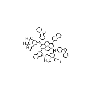 Cc1cc(N(c2ccc3c(c2)C2C=CC=CC2O3)c2cc(-c3ccc4ccccc4c3)c3ccc4c(N(c5cc(C)c(C)c(C)c5)c5ccc6oc7ccccc7c6c5)cc(-c5ccc6ccccc6c5)c5ccc2c3c54)cc(C)c1C